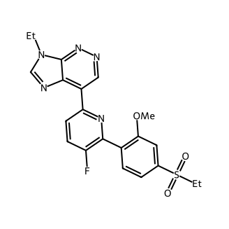 CCn1cnc2c(-c3ccc(F)c(-c4ccc(S(=O)(=O)CC)cc4OC)n3)cnnc21